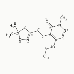 Cn1ncc(OCC(F)(F)F)c(CSC2=NOC(C)(C)C2)c1=O